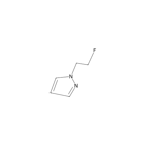 FCCn1c[c]cn1